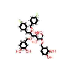 OC[C@@H](OCc1ccc(O)c(O)c1)[C@@H](O)[C@H](O)[C@H](OCc1ccc(O)c(O)c1)C(Cc1ccc(F)cc1)OCc1ccc(F)cc1